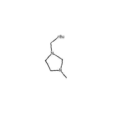 CCCCCN1CCN(C)C1